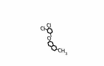 Cc1ccc2ccc(OCc3ccc(Cl)c(Cl)c3)cc2c1